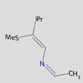 C/C=N\C=C(/SC)C(C)C